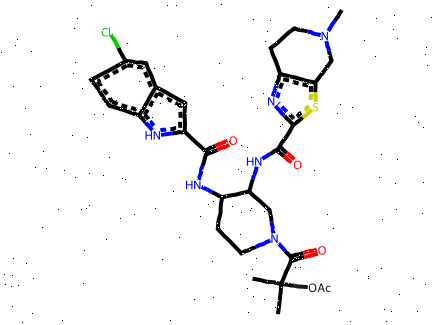 CC(=O)OC(C)(C)C(=O)N1CCC(NC(=O)c2cc3cc(Cl)ccc3[nH]2)C(NC(=O)c2nc3c(s2)CN(C)CC3)C1